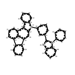 c1ccc(-n2c(-c3cccc(-n4c5ccccc5c5c6cccc7c6c(cc54)-c4ccccc4-7)c3)nc3ccccc32)cc1